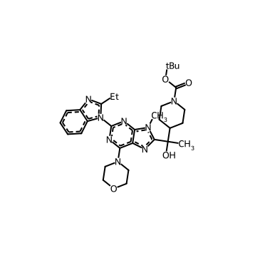 CCc1nc2ccccc2n1-c1nc(N2CCOCC2)c2nc(C(C)(O)C3CCN(C(=O)OC(C)(C)C)CC3)n(C)c2n1